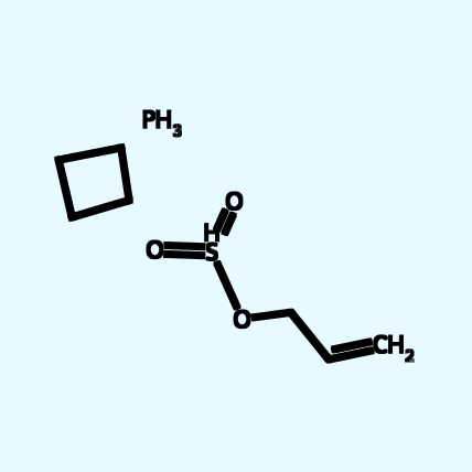 C1CCC1.C=CCO[SH](=O)=O.P